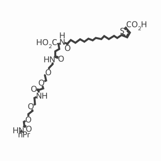 CCCNC(=O)COCCOCCNC(=O)COCCOCCNC(=O)CC[C@H](NC(=O)CCCCCCCCCCCCc1ccc(C(=O)O)s1)C(=O)O